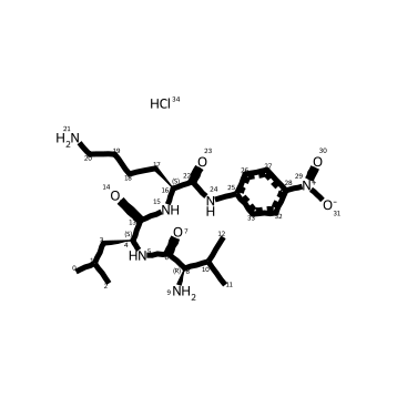 CC(C)C[C@H](NC(=O)[C@H](N)C(C)C)C(=O)N[C@@H](CCCCN)C(=O)Nc1ccc([N+](=O)[O-])cc1.Cl